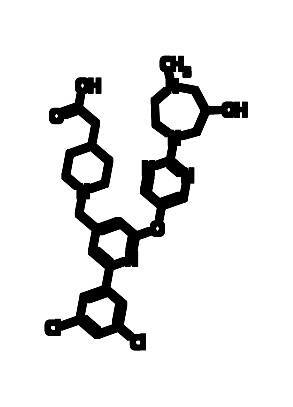 CN1CCN(c2ncc(Oc3cc(CN4CCC(CC(=O)O)CC4)cc(-c4cc(Cl)cc(Cl)c4)n3)cn2)CC(O)C1